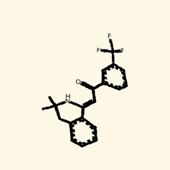 CC1(C)Cc2ccccc2C(=CC(=O)c2cccc(C(F)(F)F)c2)N1